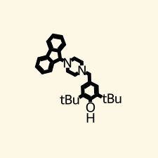 CC(C)(C)c1cc(CN2CCN(C3c4ccccc4-c4ccccc43)CC2)cc(C(C)(C)C)c1O